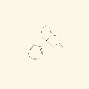 CC(C)OC(NC=O)(C(=O)O)c1ccccc1